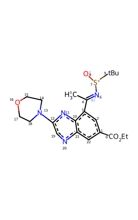 CCOC(=O)c1cc(/C(C)=N/[S+]([O-])C(C)(C)C)c2nc(N3CCOCC3)cnc2c1